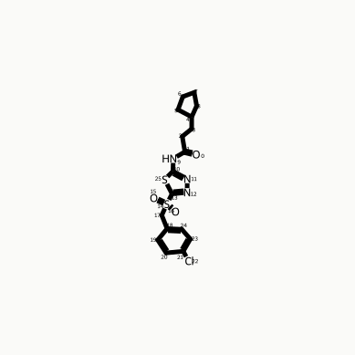 O=C(CCC1CCCC1)Nc1nnc(S(=O)(=O)Cc2ccc(Cl)cc2)s1